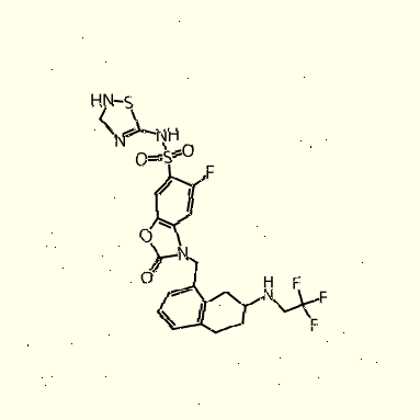 O=c1oc2cc(S(=O)(=O)NC3=NCNS3)c(F)cc2n1Cc1cccc2c1CC(NCC(F)(F)F)CC2